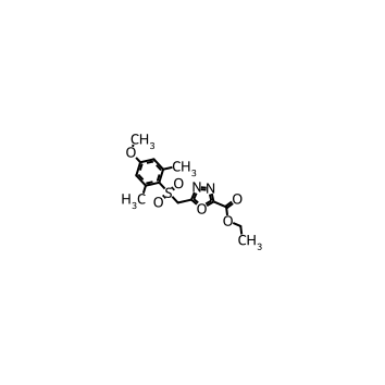 CCOC(=O)c1nnc(CS(=O)(=O)c2c(C)cc(OC)cc2C)o1